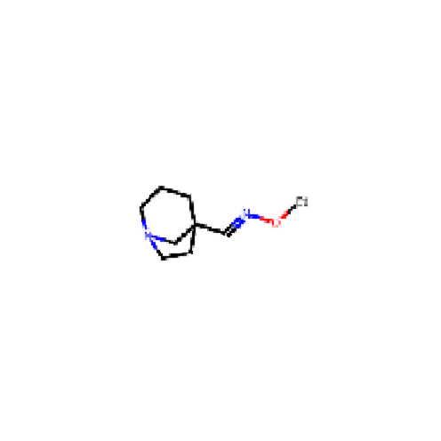 CCON=CC12CCCN(CC1)C2